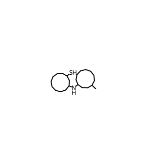 CC1CCCCCCCC(NC2CCCCCCCCC(S)C2)CC1